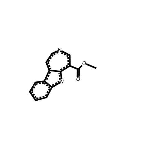 COC(=O)c1cnccc2c3ccccc3nc1-2